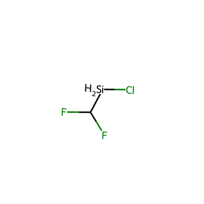 FC(F)[SiH2]Cl